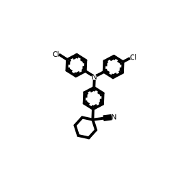 N#CC1(c2ccc(N(c3ccc(Cl)cc3)c3ccc(Cl)cc3)cc2)CCCCC1